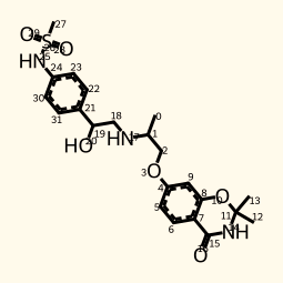 CC(COc1ccc2c(c1)OC(C)(C)NC2=O)NCC(O)c1ccc(NS(C)(=O)=O)cc1